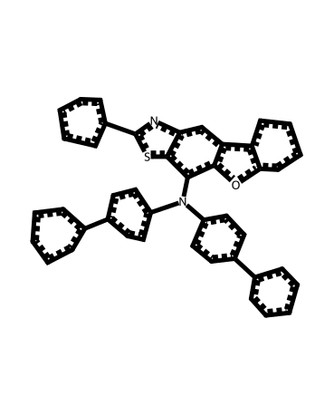 c1ccc(-c2ccc(N(c3ccc(-c4ccccc4)cc3)c3c4oc5ccccc5c4cc4nc(-c5ccccc5)sc34)cc2)cc1